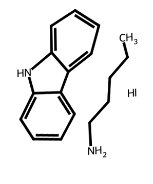 CCCCCN.I.c1ccc2c(c1)[nH]c1ccccc12